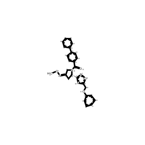 CON=C1C[C@@H](c2noc(COc3ccccc3)n2)N(C(=O)c2ccc(-c3ccccc3)cc2)C1